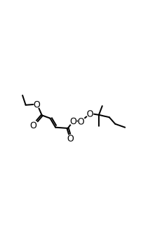 CCCC(C)(C)OOOC(=O)/C=C/C(=O)OCC